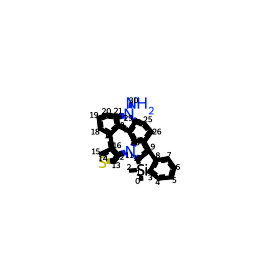 C[Si]1(C)c2ccccc2-c2c1n1c3cscc3c3cccc4c3c3c(ccc2c31)n4N